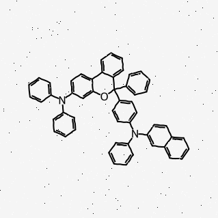 c1ccc(N(c2ccccc2)c2ccc3c(c2)OC(c2ccccc2)(c2ccc(N(c4ccccc4)c4ccc5ccccc5c4)cc2)c2ccccc2-3)cc1